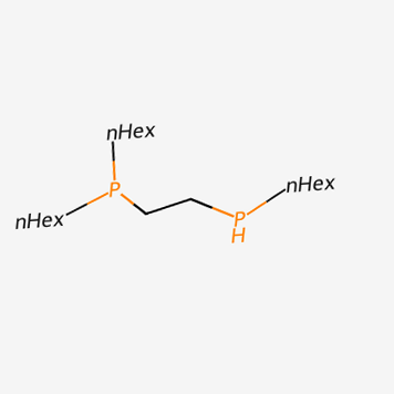 CCCCCCPCCP(CCCCCC)CCCCCC